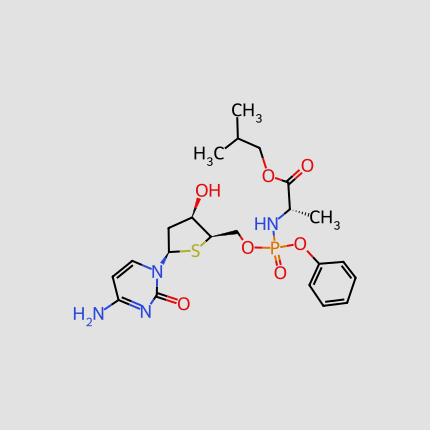 CC(C)COC(=O)[C@H](C)NP(=O)(OC[C@H]1S[C@@H](n2ccc(N)nc2=O)C[C@H]1O)Oc1ccccc1